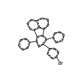 Brc1ccc(-c2cc(-c3ccccc3)c3c(c2-c2ccccc2)-c2cccc4cccc-3c24)cc1